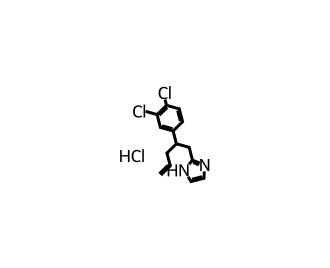 C=CCC(Cc1ncc[nH]1)c1ccc(Cl)c(Cl)c1.Cl